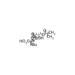 C=C(C)C(=O)OCC(O)CS(=O)(=O)O/N=C(/CCCC)C(=O)O